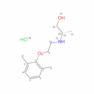 Cc1cccc(C)c1OCCN[C@@H](C)CO.Cl